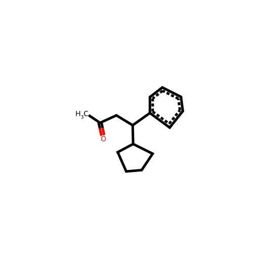 CC(=O)CC(c1ccccc1)C1CCCC1